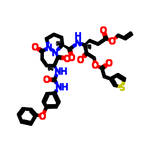 C=CCOC(=O)CC[C@H](NC(=O)[C@@H]1CCCN2C(=O)CC[C@H](NC(=O)Nc3ccc(Oc4ccccc4)cc3)C(=O)N12)C(=O)COC(=O)Cc1ccsc1